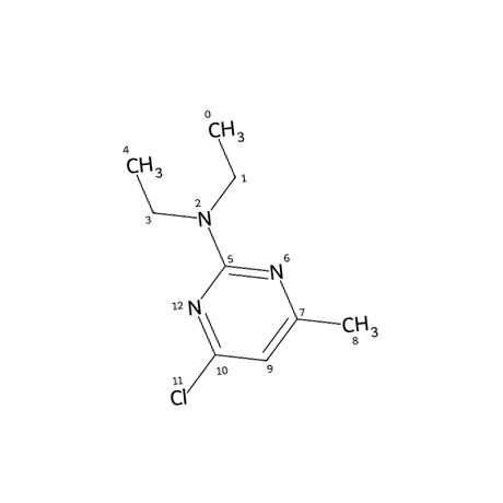 CCN(CC)c1nc(C)cc(Cl)n1